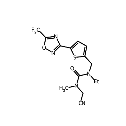 CCN(Cc1ccc(-c2noc(C(F)(F)F)n2)s1)C(=O)N(C)CC#N